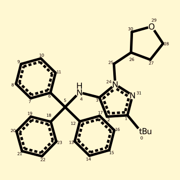 CC(C)(C)c1cc(NC(c2ccccc2)(c2ccccc2)c2ccccc2)n(CC2CCOC2)n1